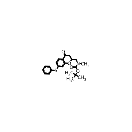 CN(CC1CC(=O)c2ccc(Sc3ccccc3)cc2O1)C(=O)OC(C)(C)C